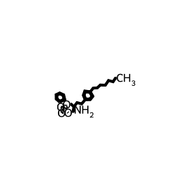 CCCCCCCCc1ccc(CCC2(N)COP(=O)(Oc3ccccc3)OC2)cc1